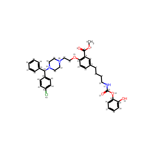 COC(=O)c1cc(CCCCNC(=O)Oc2ccccc2O)ccc1OCCN1CCN([C@H](c2ccccc2)c2ccc(Cl)cc2)CC1